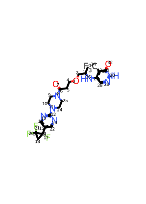 CC(COCCC(=O)N1CCN(c2ncc([C@@]3(F)CC3(F)F)cn2)CC1)Nc1cn[nH]c(=O)c1C(F)(F)F